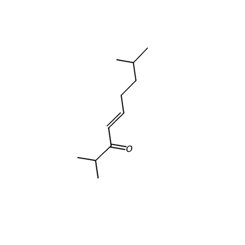 CC(C)CC/C=C/C(=O)C(C)C